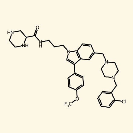 O=C(NCCCn1cc(-c2ccc(OC(F)(F)F)cc2)c2cc(CN3CCN(Cc4ccccc4Cl)CC3)ccc21)C1CNCCN1